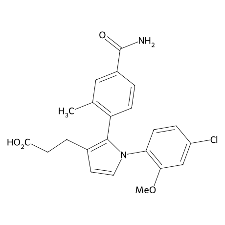 COc1cc(Cl)ccc1-n1ccc(CCC(=O)O)c1-c1ccc(C(N)=O)cc1C